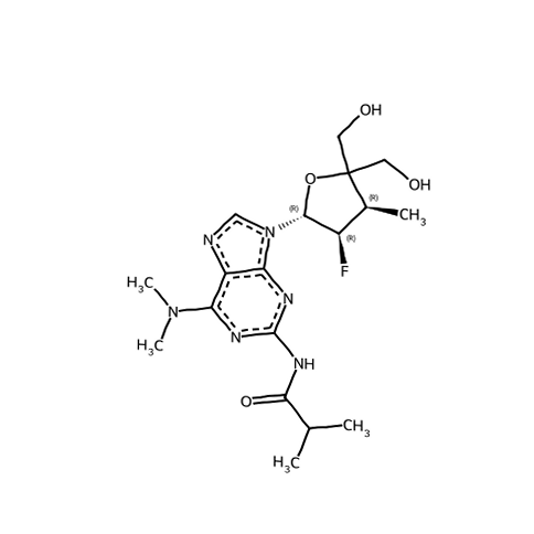 CC(C)C(=O)Nc1nc(N(C)C)c2ncn([C@@H]3OC(CO)(CO)[C@@H](C)[C@H]3F)c2n1